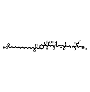 NCCN(C(=O)CBr)C(=O)COCCNC(=O)COCCNC(=O)CCC(NC(=O)C1CCC(CNC(=O)CCCCCCCCCCCCCCC(=O)O)CC1)C(=O)O